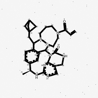 C=CC(=O)N1CCCN(C(CC23CC(C2)C3)c2ccc([C@H](C)Nc3ncc4c(n3)N(C(C)C)C(=O)NC4)cc2)CCC1